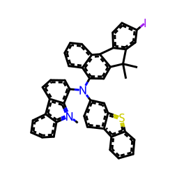 Cn1c2ccccc2c2cccc(N(c3ccc4c(c3)sc3ccccc34)c3cc4c(c5ccccc35)-c3ccc(I)cc3C4(C)C)c21